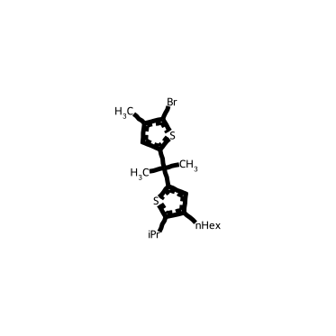 CCCCCCc1cc(C(C)(C)c2cc(C)c(Br)s2)sc1C(C)C